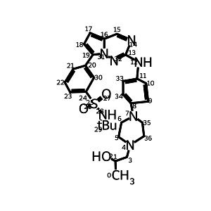 CC(O)CN1CCN(c2ccc(Nc3ncc4ccc(-c5cccc(S(=O)(=O)NC(C)(C)C)c5)n4n3)cc2)CC1